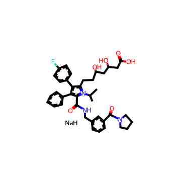 CC(C)n1c(CCC(O)CC(O)CC(=O)O)c(-c2ccc(F)cc2)c(-c2ccccc2)c1C(=O)NCc1cccc(C(=O)N2CCCC2)c1.[NaH]